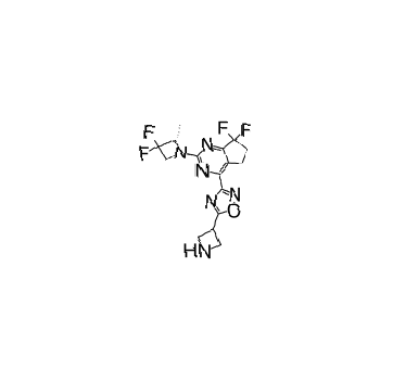 C[C@@H]1N(c2nc(-c3noc(C4CNC4)n3)c3c(n2)C(F)(F)CC3)CC1(F)F